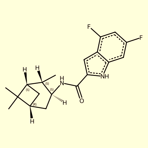 C[C@@H]1[C@@H](NC(=O)c2cc3c(F)cc(F)cc3[nH]2)C[C@H]2C[C@@H]1C2(C)C